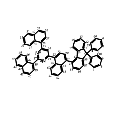 c1ccc(C2(c3ccccc3)c3ccccc3-c3c(-c4ccc(-c5cc(-c6cccc7ccccc67)nc(-c6cccc7ccccc67)n5)c5ccccc45)cccc32)cc1